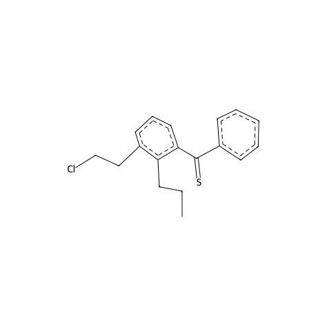 CCCc1c(CCCl)cccc1C(=S)c1ccccc1